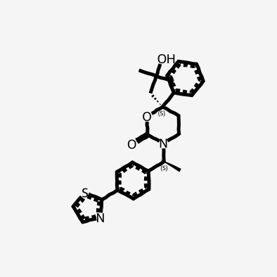 C[C@@H](c1ccc(-c2nccs2)cc1)N1CC[C@](CC(C)(C)O)(c2ccccc2)OC1=O